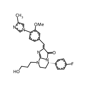 COc1cc(/C=C2\N=C3N(CCCO)CC[C@@H](c4ccc(F)cc4)N3C2=O)ccc1-n1cnc(C)c1